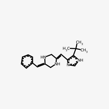 CC(C)(C)c1[nH]cnc1/C=C1/CN/C(=C\c2ccccc2)CN1